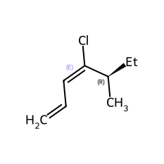 C=C/C=C(/Cl)[C@H](C)CC